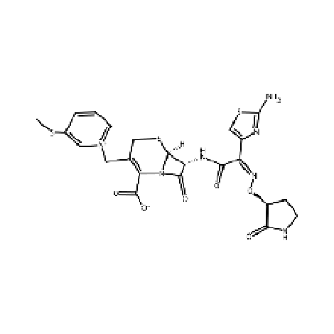 CSc1ccc[n+](CC2=C(C(=O)[O-])N3C(=O)[C@@H](NC(=O)/C(=N\O[C@H]4CCNC4=O)c4csc(N)n4)[C@@H]3SC2)c1